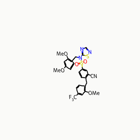 COc1ccc(CN(c2ncns2)S(=O)(=O)c2ccc(Cc3ccc(C(F)(F)F)cc3OC)c(C#N)c2)c(OC)c1